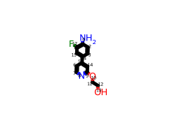 Nc1ccc(-c2ccnc(OCCO)c2)cc1F